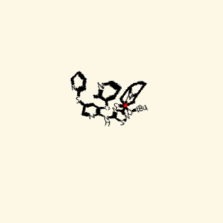 Cc1ncccc1Oc1cc(Sc2ccccn2)cnc1Nc1nc(C2CC3CCC(C2)N3C(=O)OC(C)(C)C)ns1